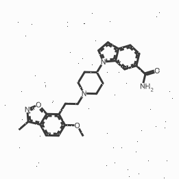 COc1ccc2c(C)noc2c1CCN1CCC(n2ccc3ccc(C(N)=O)cc32)CC1